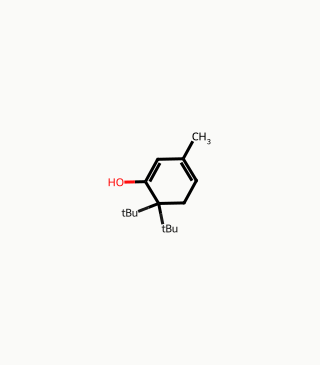 CC1=CCC(C(C)(C)C)(C(C)(C)C)C(O)=C1